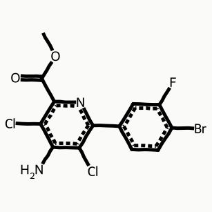 COC(=O)c1nc(-c2ccc(Br)c(F)c2)c(Cl)c(N)c1Cl